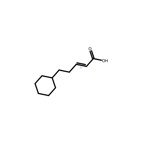 O=C(O)/C=C/CCC1CCCCC1